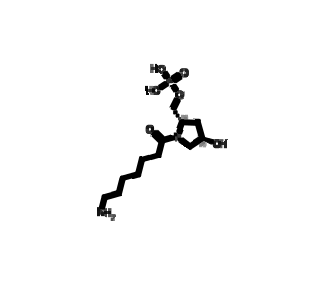 NCCCCCCC(=O)N1C[C@H](O)C[C@H]1COP(=O)(O)O